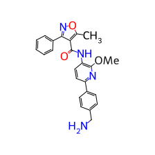 COc1nc(-c2ccc(CN)cc2)ccc1NC(=O)c1c(-c2ccccc2)noc1C